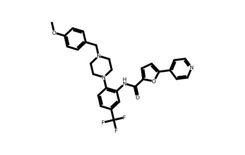 COc1ccc(CN2CCN(c3ccc(C(F)(F)F)cc3NC(=O)c3ccc(-c4ccncc4)o3)CC2)cc1